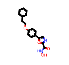 O=C(NO)c1ncc(-c2ccc(OCCc3ccccc3)cc2)o1